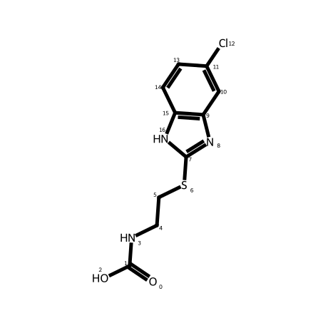 O=C(O)NCCSc1nc2cc(Cl)ccc2[nH]1